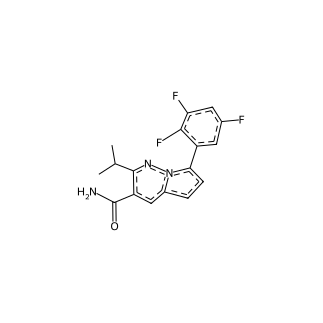 CC(C)c1nn2c(-c3cc(F)cc(F)c3F)ccc2cc1C(N)=O